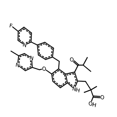 Cc1cnc(COc2ccc3[nH]c(CC(C)(C)C(=O)O)c(C(=O)C(C)C)c3c2Cc2ccc(-c3ccc(F)cn3)cc2)cn1